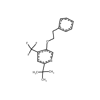 CC(C)(C)c1cc(C(F)(F)F)c(OCCc2ccccc2)cn1